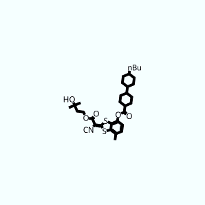 [C-]#[N+]/C(C(=O)OCCC(C)(C)O)=C1\Sc2c(C)ccc(OC(=O)C3CCC(C4CCC(CCCC)CC4)CC3)c2S1